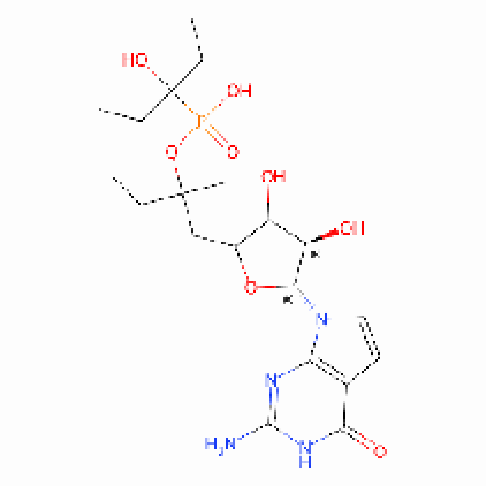 CCC(C)(CC1O[C@@H](n2ccc3c(=O)[nH]c(N)nc32)[C@H](O)C1O)OP(=O)(O)C(O)(CC)CC